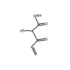 C=CC(=S)C(S)C(=O)OC